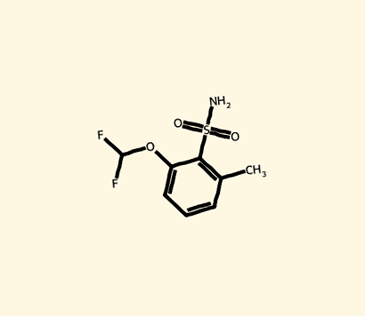 Cc1cccc(OC(F)F)c1S(N)(=O)=O